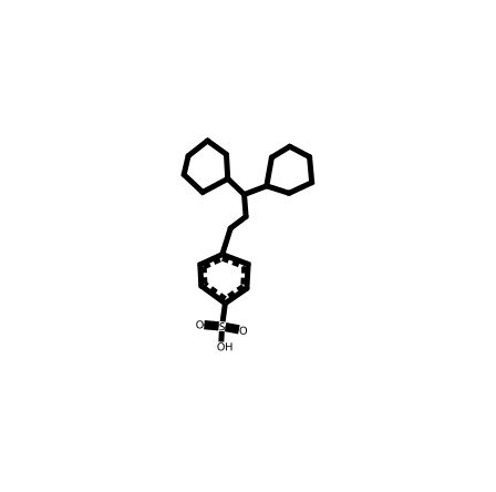 O=S(=O)(O)c1ccc(CCC(C2CCCCC2)C2CCCCC2)cc1